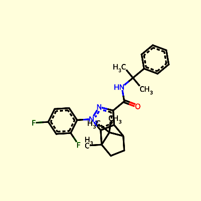 CC(C)(NC(=O)c1nn(-c2ccc(F)cc2F)c2c1C1CCC2(C)C1(C)C)c1ccccc1